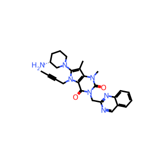 CC#CCn1c(N2CCC[C@@H](N)C2)c(C)c2c1c(=O)n(Cc1ncc3ccccc3n1)c(=O)n2C